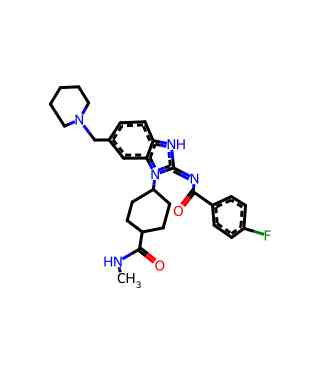 CNC(=O)C1CCC(n2/c(=N\C(=O)c3ccc(F)cc3)[nH]c3ccc(CN4CCCCC4)cc32)CC1